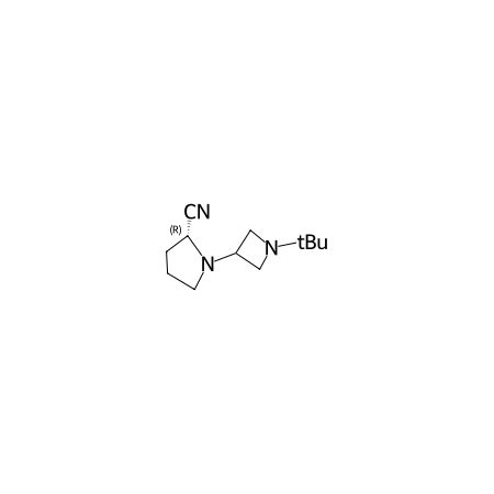 CC(C)(C)N1CC(N2CCC[C@@H]2C#N)C1